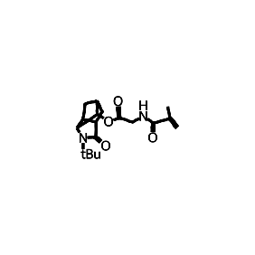 C=C(C)C(=O)NCC(=O)OC1C2CC3C(=O)N(C(C)(C)C)C1C3C2